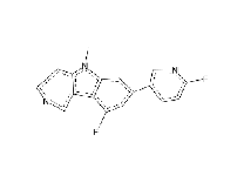 Cn1c2ccncc2c2c(F)cc(-c3ccc(F)nc3)cc21